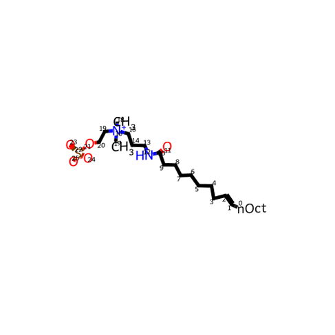 CCCCCCCCC=CCCCCCCCC(=O)NCCC[N+](C)(C)CCOS(=O)(=O)[O-]